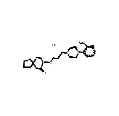 COc1ccccc1N1CCN(CCCON2CCC3(CCCC3)CC2=O)CC1.Cl